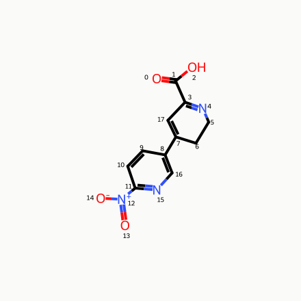 O=C(O)C1=NCCC(c2ccc([N+](=O)[O-])nc2)=C1